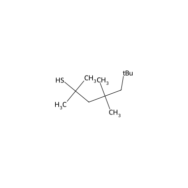 CC(C)(C)CC(C)(C)CC(C)(C)S